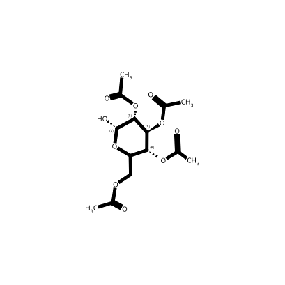 CC(=O)OCC1O[C@H](O)[C@H](OC(C)=O)[C@@H](OC(C)=O)[C@@H]1OC(C)=O